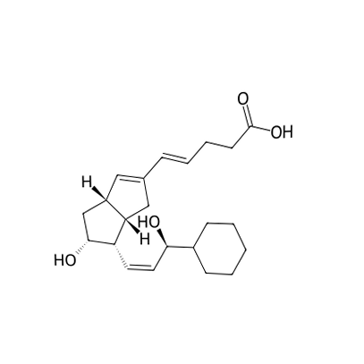 O=C(O)CCC=CC1=C[C@H]2C[C@@H](O)[C@@H](/C=C\[C@@H](O)C3CCCCC3)[C@H]2C1